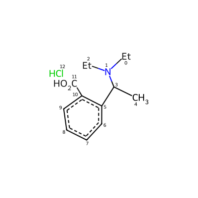 CCN(CC)C(C)c1ccccc1C(=O)O.Cl